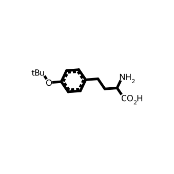 CC(C)(C)Oc1ccc(CCC(N)C(=O)O)cc1